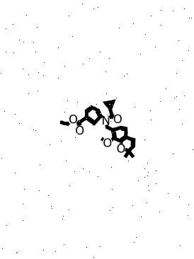 CCOC(=O)c1cccc(N(Cc2ccc3c(c2OC)OC(C)(C)C=C3)C(=O)C2CC2)c1